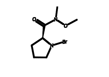 CON(C)C(=O)[C@@H]1CCCN1Br